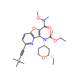 CCOC(=O)N(c1c(C(=O)N(C)OC)oc2ccc(C#C[Si](C)(C)C)nc12)[C@H]1CCO[C@@H](CC)C1